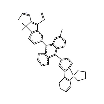 C=CC1=C(/C=C\C)C(C)(C)c2ccc(-c3c4ccccc4c(-c4ccc5c(c4)C4=C(C=CCC4)S54CCCC4)c4ccc(C)cc34)cc21